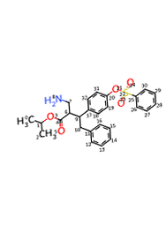 CC(C)OC(=O)C(CN)C(Cc1ccccc1)c1ccc(OS(=O)(=O)c2ccccc2)cc1